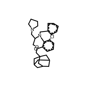 Clc1cccc(Cl)c1N(Cc1ccccc1)C(COCC12CC3CC(CC(C3)C1)C2)CN1CCCC1